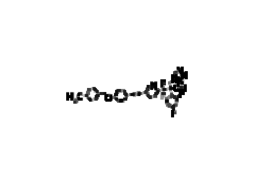 Cc1ccc(COc2ccc(C#Cc3ccc(C(F)(F)C(O)(Cn4cnnn4)c4ccc(F)cc4F)nc3)cc2)cc1